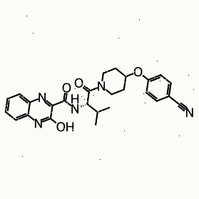 CC(C)[C@H](NC(=O)c1nc2ccccc2nc1O)C(=O)N1CCC(Oc2ccc(C#N)cc2)CC1